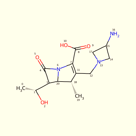 C[C@@H](O)C1C(=O)N2C(C(=O)O)=C(CN3CC(N)C3)[C@H](C)C12